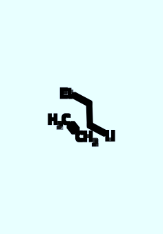 C=C.[Li][CH2]CCC